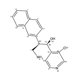 NC[C@@H](c1ccc2ccccc2c1)[C@@H](O)c1ccncc1Cl